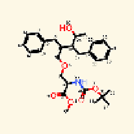 COC(=O)C(COCC(Cc1ccccc1)C(Cc1ccccc1)C(C)O)NC(=O)OC(C)(C)C